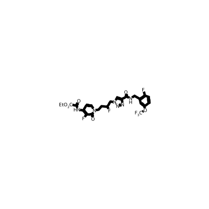 CCOC(=O)C(=O)Nc1ccn(CCC(F)Cn2cc(C(=O)NCc3cc(OC(F)(F)F)ccc3F)nn2)c(=O)c1F